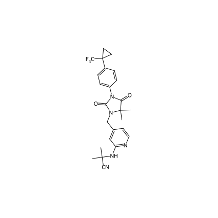 CC(C)(C#N)Nc1cc(CN2C(=O)N(c3ccc(C4(C(F)(F)F)CC4)cc3)C(=O)C2(C)C)ccn1